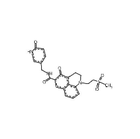 CS(=O)(=O)CCN1CCn2c(=O)c(C(=O)NCc3ccc(=O)[nH]c3)cc3cccc1c32